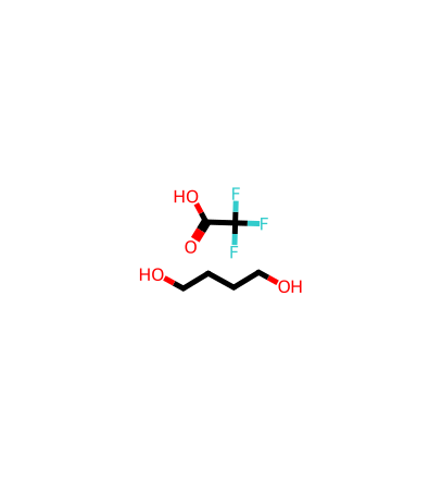 O=C(O)C(F)(F)F.OCCCCO